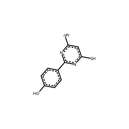 CCCc1cc(S)nc(-c2ccc(O)cc2)n1